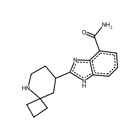 NC(=O)c1cccc2[nH]c(C3CCNC4(CCC4)C3)nc12